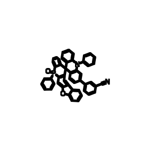 N#Cc1cccc(-c2ccc3c(c2)N(c2ccccc2)c2ccccc2C32c3ccccc3P(=O)(c3ccccc3)c3cc4oc5ccccc5c4cc32)c1